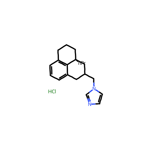 CCCC12CCCc3cccc(c31)CC(Cn1ccnc1)C2.Cl